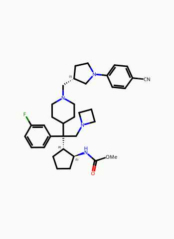 COC(=O)N[C@H]1CCC[C@@H]1C(CN1CCC1)(c1cccc(F)c1)C1CCN(C[C@@H]2CCN(c3ccc(C#N)cc3)C2)CC1